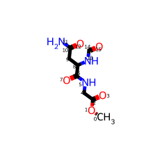 COC(=O)CNC(=O)C(CC(N)=O)NC=O